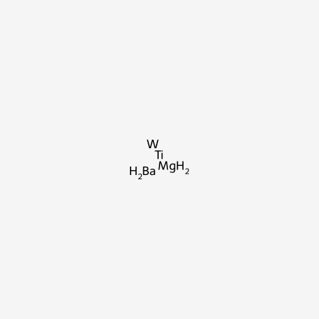 [BaH2].[MgH2].[Ti].[W]